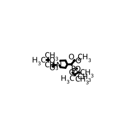 COC(=O)C(B1OC(C)(C)C(C)(C)O1)C1CCN(C(=O)OC(C)(C)C)CC1